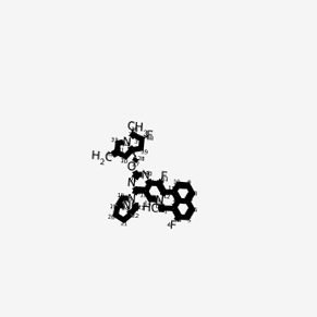 C#Cc1c(F)ccc2cccc(-c3ncc4c(N5CC6CCC(C5)N6)nc(OC[C@]56CC(=C)CN5[C@H](C)[C@H](F)C6)nc4c3F)c12